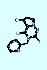 O=c1c2c(Cl)ccn2nc(I)n1Cc1ccccn1